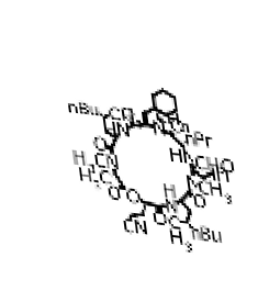 CCCC[C@@H](C)CC1NC(=O)C(CC2CCCCC2)N(C)C(=O)[C@H](CCC)N[C@](C=O)(CC(C)C)N(C)C(=O)C(C[C@H](C)CCCC)NC(=O)[C@@H](CCC#N)OC(=O)[C@H](C)N(C)C1=O